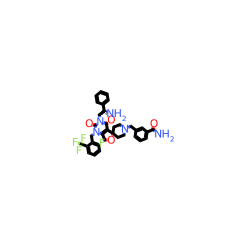 NC(=O)c1cccc(CN2CCC3(CC2)OCc2c3c(=O)n(C[C@H](N)c3ccccc3)c(=O)n2Cc2c(F)cccc2C(F)(F)F)c1